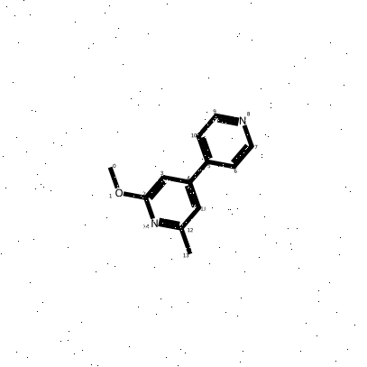 COc1cc(-c2ccncc2)cc(C)n1